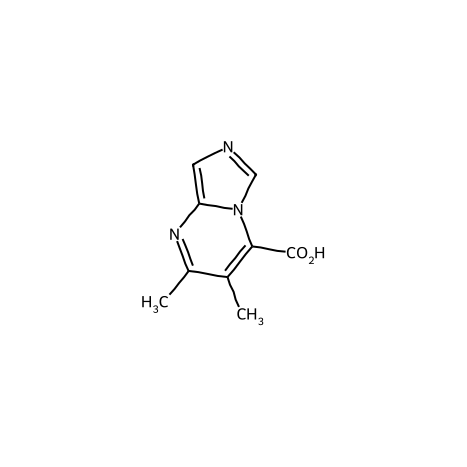 Cc1nc2cncn2c(C(=O)O)c1C